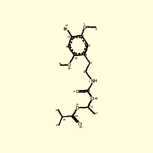 COc1cc(CCNC(=O)OC(C)OC(=O)C(C)C)c(OC)cc1Br